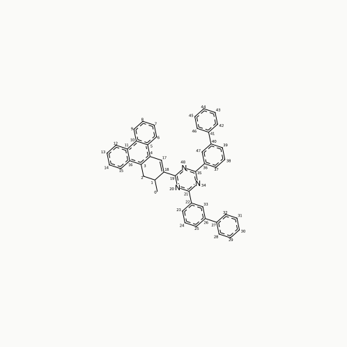 CC1Cc2c(c3ccccc3c3ccccc23)C=C1c1nc(-c2cccc(-c3ccccc3)c2)nc(-c2cccc(-c3ccccc3)c2)n1